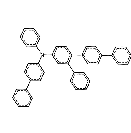 c1ccc(-c2ccc(-c3ccc(N(c4ccccc4)c4ccc(-c5ccccc5)cc4)cc3-c3ccccc3)cc2)cc1